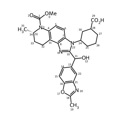 COC(=O)N1c2ccc3c(nc(C(O)c4ccc5oc(C)nc5c4)n3C3CCCC(C(=O)O)C3)c2CC[C@@H]1C